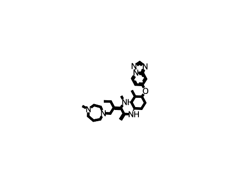 C=C(N[C@H]1CCC(Oc2ccn3ncnc3c2)C(C)C1)/C(NC)=C(/CC)CN1CCCN(C)CC1